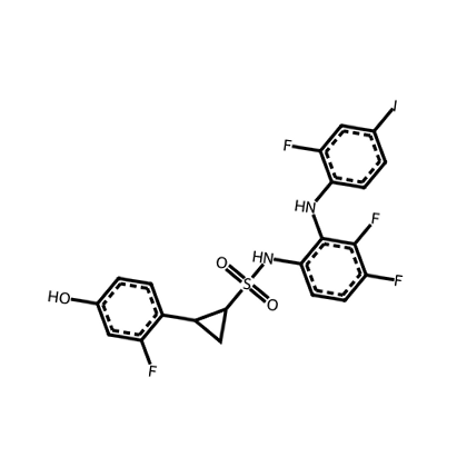 O=S(=O)(Nc1ccc(F)c(F)c1Nc1ccc(I)cc1F)C1CC1c1ccc(O)cc1F